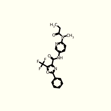 CCC(=O)N(C)c1ccc(NC(=O)c2nc(-c3ccccc3)oc2C(F)(F)F)cn1